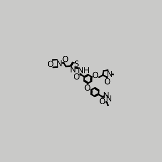 Cc1nnc(-c2ccc(Oc3cc(OCC4CCN(C)C4=O)cc(C(=O)Nc4nc(CC(=O)N5CCOCC5)cs4)c3)cc2)o1